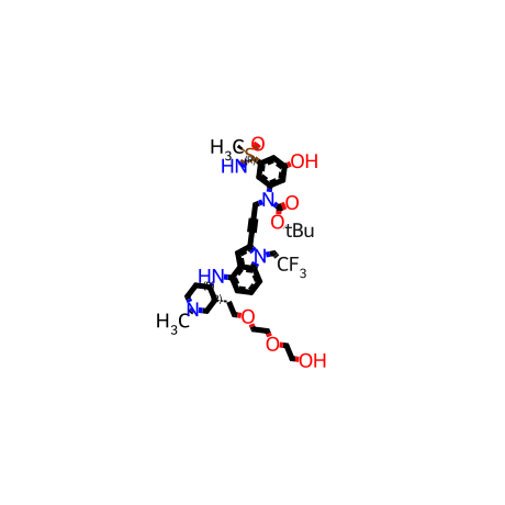 CN1CC[C@@H](Nc2cccc3c2cc(C#CCN(C(=O)OC(C)(C)C)c2cc(O)cc([S@](C)(=N)=O)c2)n3CC(F)(F)F)[C@H](CCOCCOCCO)C1